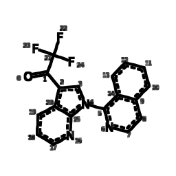 O=C(c1cn(-c2nccc3ccccc23)c2ncccc12)C(F)(F)F